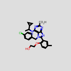 Cc1ccc(OCCO)c(-c2nc3nc(C(=O)O)nc(NC(C)C4CC4)c3n2Cc2ccc(Cl)cc2)c1